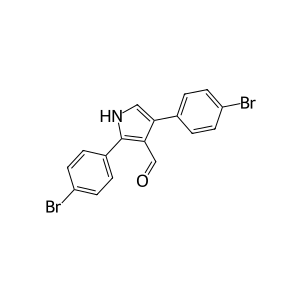 O=Cc1c(-c2ccc(Br)cc2)c[nH]c1-c1ccc(Br)cc1